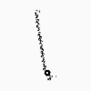 OOOOOOOOOOOOOOOOOOOOOOOOOOOOc1ccc(B(O)O)cc1